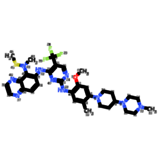 COc1cc(N2CCC(N3CCN(C)CC3)CC2)c(C)cc1Nc1ncc(C(F)(F)F)c(Nc2ccc3nccnc3c2N(C)SC)n1